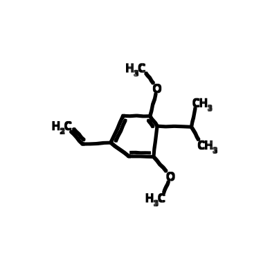 C=Cc1cc(OC)c(C(C)C)c(OC)c1